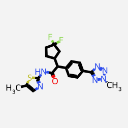 Cc1cnc(NC(=O)C(c2ccc(-c3nnn(C)n3)cc2)C2CCC(F)(F)C2)s1